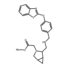 CC(C)(C)OC(=O)CN1CC2CC2C1CNCc1ccc(Oc2nc3ccccc3s2)cc1